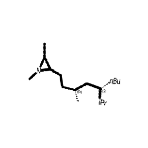 CCCC[C@@H](C[C@H](C)CCC1C(C)N1C)C(C)C